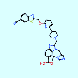 CCn1cncc1Cn1c(CN2CCC(c3cccc(OCc4nc5ccc(C#N)cc5s4)n3)CC2)nc2ccc(C(=O)O)cc21